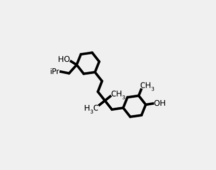 CC(C)CC1(O)CCCC(CCC(C)(C)CC2CCC(O)C(C)C2)C1